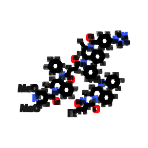 CCc1cc(C(=O)N2c3ccccc3[C@@H](N(C(C)=O)c3ccccc3)C[C@H]2C)no1.COc1cc(C(=O)N2c3ccccc3[C@@H](N(C(=O)CCC(=O)N(c3ccccc3)[C@H]3C[C@@H](C)N(C(=O)c4ccc(-n5cnnc5)cc4)c4ccccc43)c3ccccc3)C[C@H]2C)cc(OC)n1